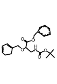 CC(C)(C)OC(=O)NCC(OCC1=CC=CCC1)C(=O)OCc1ccccc1